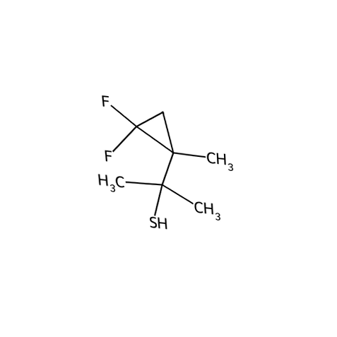 CC(C)(S)C1(C)CC1(F)F